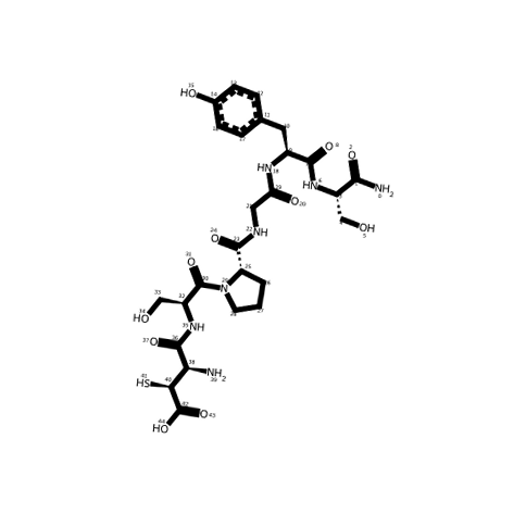 NC(=O)[C@H](CO)NC(=O)[C@H](Cc1ccc(O)cc1)NC(=O)CNC(=O)[C@@H]1CCCN1C(=O)[C@H](CO)NC(=O)[C@@H](N)[C@H](S)C(=O)O